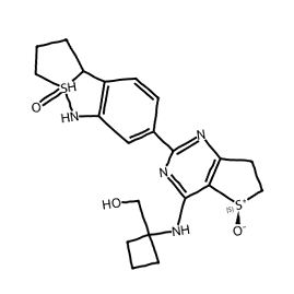 O=[SH]12CCCC1c1ccc(-c3nc4c(c(NC5(CO)CCC5)n3)[S@+]([O-])CC4)cc1N2